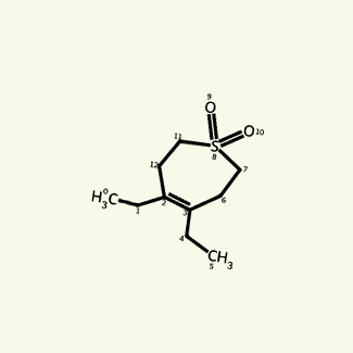 CCC1=C(CC)CCS(=O)(=O)CC1